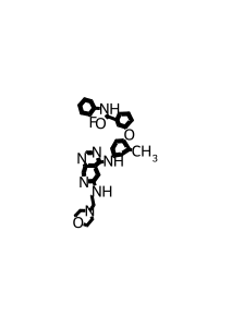 Cc1cc(Nc2ncnc3cnc(NCCN4CCOCC4)cc23)ccc1Oc1cccc(C(=O)Nc2ccccc2F)c1